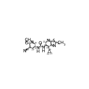 COc1ncc(NC(=O)Nc2cnc3sc(C)nc3c2C2CC2)cc1C#N